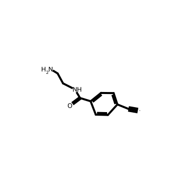 [C]#Cc1ccc(C(=O)NCCN)cc1